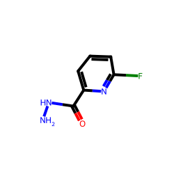 NNC(=O)c1cccc(F)n1